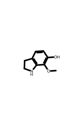 COc1c(O)ccc2c1NCC2